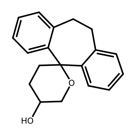 OC1CCC2(OC1)c1ccccc1CCc1ccccc12